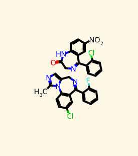 Cc1ncc2n1-c1ccc(Cl)cc1C(c1ccccc1F)=NC2.O=C1CN=C(c2ccccc2Cl)c2cc([N+](=O)[O-])ccc2N1